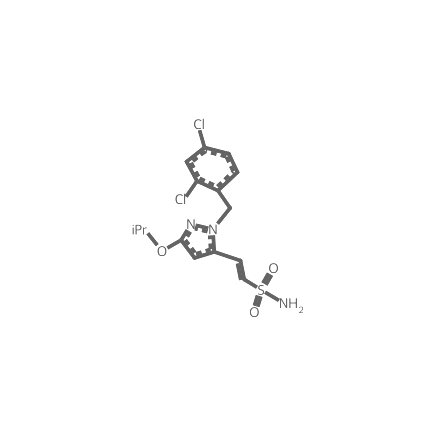 CC(C)Oc1cc(C=CS(N)(=O)=O)n(Cc2ccc(Cl)cc2Cl)n1